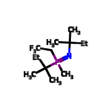 CCC(C)(C)N=P(C)(CC(F)(F)F)C(C)(C)CC